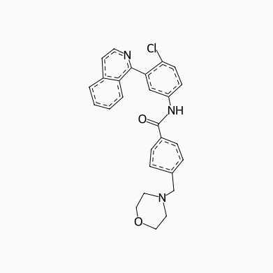 O=C(Nc1ccc(Cl)c(-c2nccc3ccccc23)c1)c1ccc(CN2CCOCC2)cc1